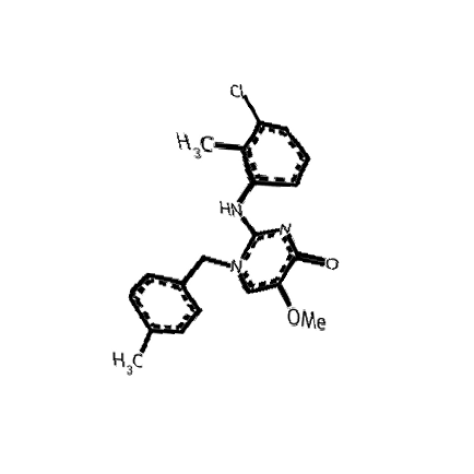 COc1cn(Cc2ccc(C)cc2)c(Nc2cccc(Cl)c2C)nc1=O